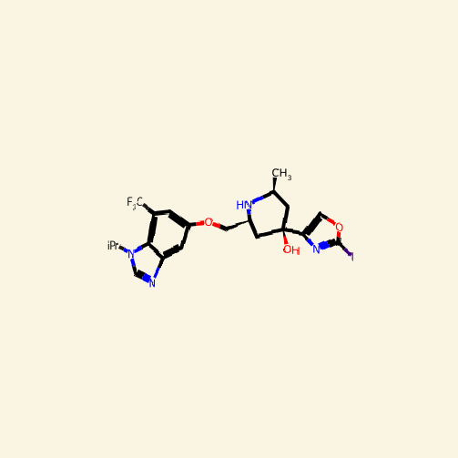 CC(C)n1cnc2cc(OC[C@@H]3C[C@@](O)(c4coc(I)n4)C[C@H](C)N3)cc(C(F)(F)F)c21